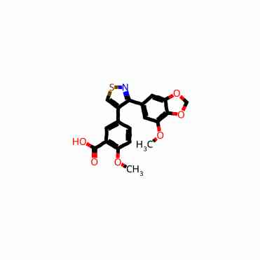 COc1ccc(-c2csnc2-c2cc(OC)c3c(c2)OCO3)cc1C(=O)O